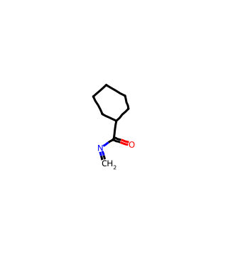 C=NC(=O)C1CCCCC1